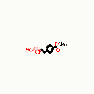 CC(C)(C)OC(=O)c1ccc(CCOBO)cc1